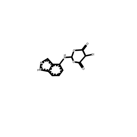 CCC1C(=O)OC(Nc2cccc3[nH]ncc23)OC1=O